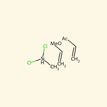 C=CC(C)=O.C=COC.C[SiH](Cl)Cl